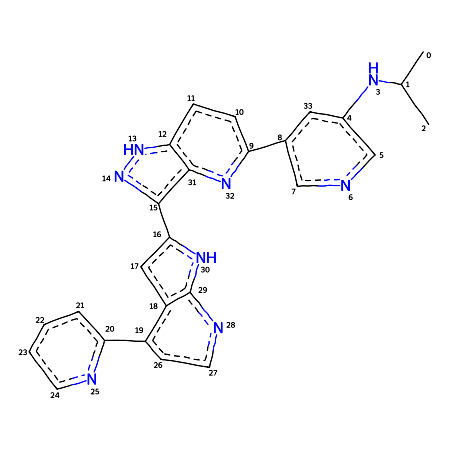 CC(C)Nc1cncc(-c2ccc3[nH]nc(-c4cc5c(-c6ccccn6)ccnc5[nH]4)c3n2)c1